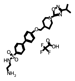 CC(C)c1noc(N2CCC(COc3ccc(-c4ccc(S(=O)(=O)NCCN)cc4)cc3)CC2)n1.O=C(O)C(F)(F)F